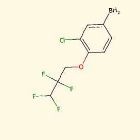 Bc1ccc(OCC(F)(F)C(F)F)c(Cl)c1